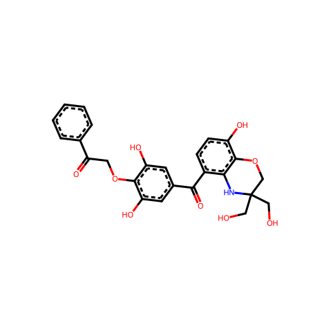 O=C(COc1c(O)cc(C(=O)c2ccc(O)c3c2NC(CO)(CO)CO3)cc1O)c1ccccc1